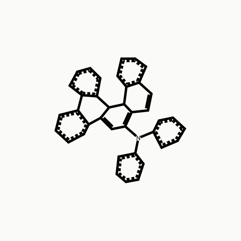 C1=Cc2ccccc2C2C1=C(N(c1ccccc1)c1ccccc1)C=C1c3ccccc3-c3ccccc3C12